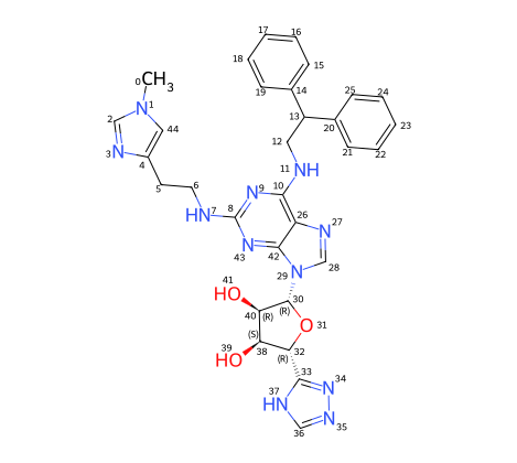 Cn1cnc(CCNc2nc(NCC(c3ccccc3)c3ccccc3)c3ncn([C@@H]4O[C@H](c5nnc[nH]5)[C@@H](O)[C@H]4O)c3n2)c1